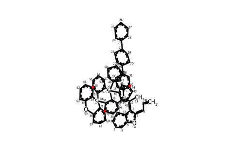 C=C/C=c1/oc2ccccc2/c1=C(/C)N(c1ccc(-c2ccc(-c3ccccc3)cc2)cc1)c1cccc2c1[Si](c1ccccc1)(c1ccccc1)c1ccccc1[Si]21c2ccccc2Oc2ccccc21